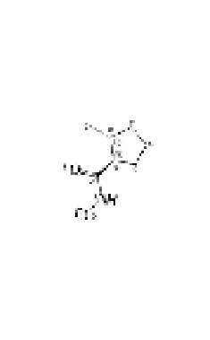 CCNC(=O)[C@@H]1CCC[C@H]1C